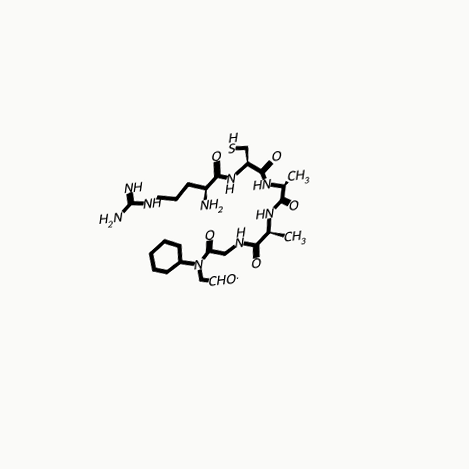 C[C@H](NC(=O)[C@H](C)NC(=O)[C@H](CS)NC(=O)[C@@H](N)CCCNC(=N)N)C(=O)NCC(=O)N(C[C]=O)C1CCCCC1